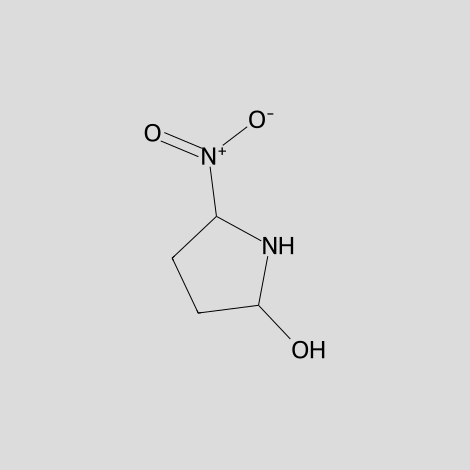 O=[N+]([O-])C1CCC(O)N1